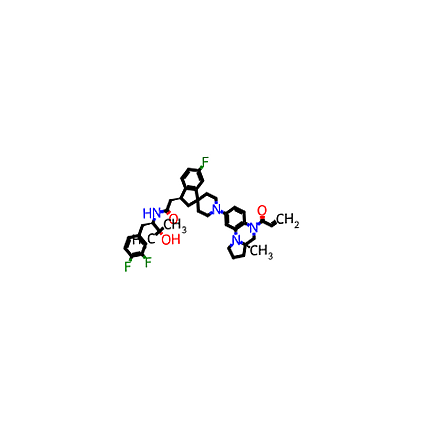 C=CC(=O)N1C[C@]2(C)CCCN2c2cc(N3CCC4(CC3)C[C@@H](CC(=O)N[C@H](Cc3ccc(F)c(F)c3)C(C)(C)O)c3ccc(F)cc34)ccc21